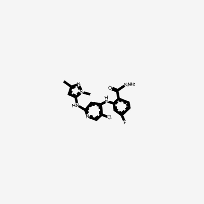 CNC(=O)c1ccc(F)cc1Nc1cc(Nc2cc(C)nn2C)ncc1Cl